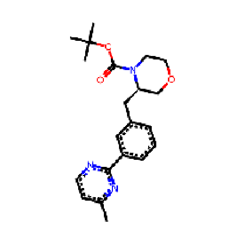 Cc1ccnc(-c2cccc(C[C@@H]3COCCN3C(=O)OC(C)(C)C)c2)n1